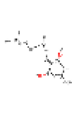 CCCCCC1=CC(=O)C(=CC=C(C)CCC=C(C)C)C(=O)C1